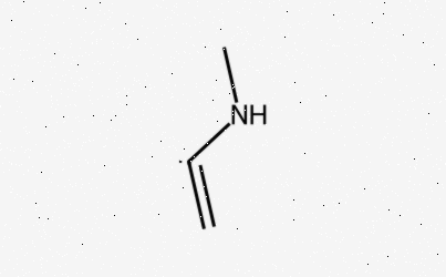 C=[C]NC